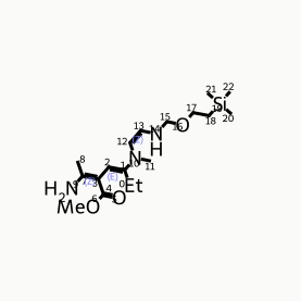 CC/C(=C\C(C(=O)OC)=C(/C)N)N(C)/C=C\NCOCC[Si](C)(C)C